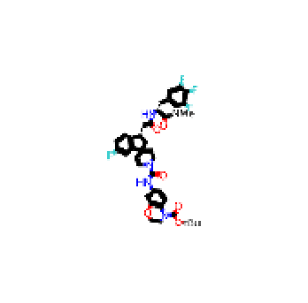 CNC(=O)[C@@H](Cc1cc(F)c(F)c(F)c1)NC(=O)C[C@@H]1CC2(CCN(C(=O)Nc3ccc4c(c3)OCCN4C(=O)OC(C)(C)C)CC2)c2cc(F)ccc21